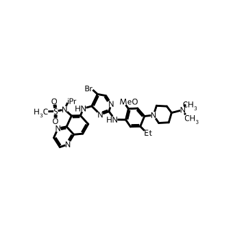 CCc1cc(Nc2ncc(Br)c(Nc3ccc4nccnc4c3N(C(C)C)S(C)(=O)=O)n2)c(OC)cc1N1CCC(N(C)C)CC1